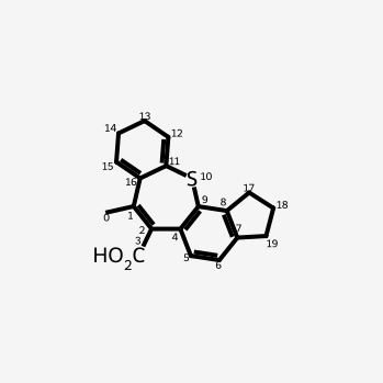 CC1=C(C(=O)O)c2ccc3c(c2SC2=CCCC=C21)CCC3